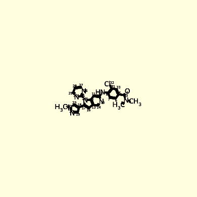 CN(C)C(=O)c1ccc(Nc2cc3c(cn2)cc(-c2cnn(C)c2)n3-c2ncccn2)c(Cl)c1